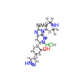 CNc1nc2cc(-c3ccc(-c4cn[nH]c4)cc3O)nnc2n1C1CC(C)(C)NC(C)(C)C1.Cl